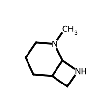 CN1CCCC2CNC21